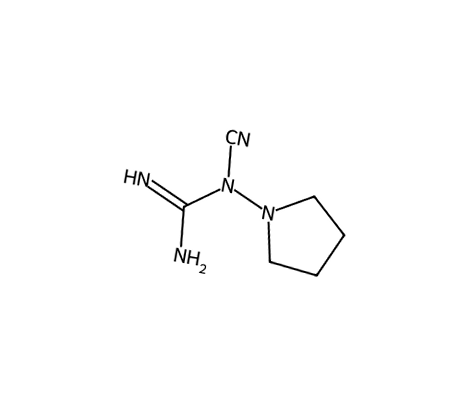 N#CN(C(=N)N)N1CCCC1